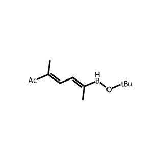 CC(=O)/C(C)=C/C=C(\C)BOC(C)(C)C